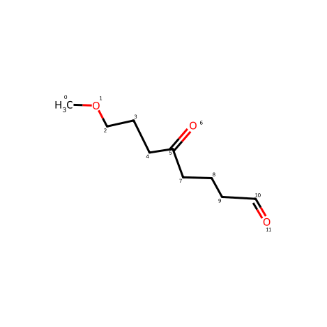 COCCCC(=O)CCCC=O